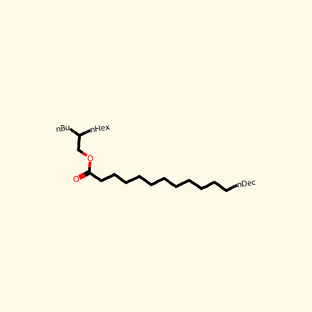 CCCCCCCCCCCCCCCCCCCCCC(=O)OCC(CCCC)CCCCCC